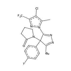 CCC(C)C1=NN=C(n2nc(C(F)(F)F)c(Cl)c2C)C1(c1ccc(F)cc1)N1CCCC1=O